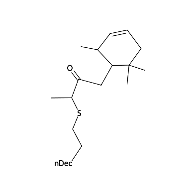 CCCCCCCCCCCCSC(C)C(=O)CC1C(C)C=CCC1(C)C